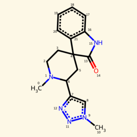 CN1CCC2(CC1c1cn(C)nn1)C(=O)Nc1ccccc12